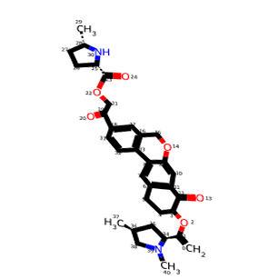 C=C(OC1CCc2cc3c(cc2C1=O)OCc1cc(C(=O)COC(=O)[C@@H]2CC[C@H](C)N2)ccc1-3)[C@@H]1C[C@H](C)CN1C